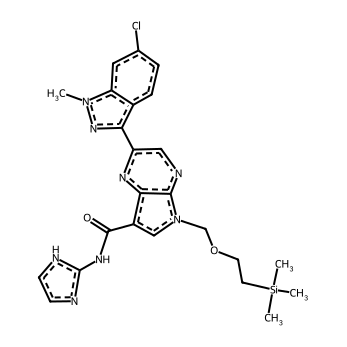 Cn1nc(-c2cnc3c(n2)c(C(=O)Nc2ncc[nH]2)cn3COCC[Si](C)(C)C)c2ccc(Cl)cc21